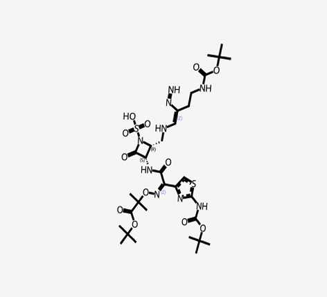 CC(C)(C)OC(=O)NCC/C(=C/NC[C@@H]1[C@H](NC(=O)/C(=N\OC(C)(C)C(=O)OC(C)(C)C)c2csc(NC(=O)OC(C)(C)C)n2)C(=O)N1S(=O)(=O)O)N=N